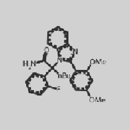 CCCCC(C(N)=O)(c1ccccc1F)n1c(-c2ccc(OC)cc2OC)nc2ccccc21